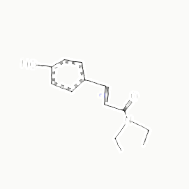 CCN(CC)C(=O)/C=C/c1ccc(O)cc1